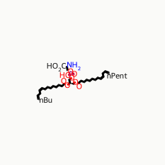 CCCC/C=C\C/C=C\CCCCCCCC(=O)O[C@H](COC(=O)CCCCCCC/C=C\C/C=C\CCCCC)COP(=O)(O)OC[C@H](N)C(=O)O